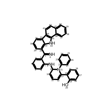 N=C(c1ccccc1NC1C=CC=C(c2ccccc2O)N1c1ccccc1)c1cccc2c1[nH]c1c3ccccc3ccc21